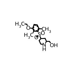 CCOc1ccc(C)c(S(=O)(=O)C2CCNC(CO)C2)c1C